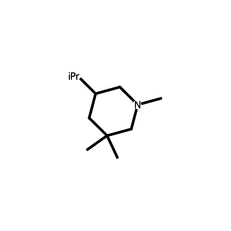 CC(C)C1CN(C)CC(C)(C)C1